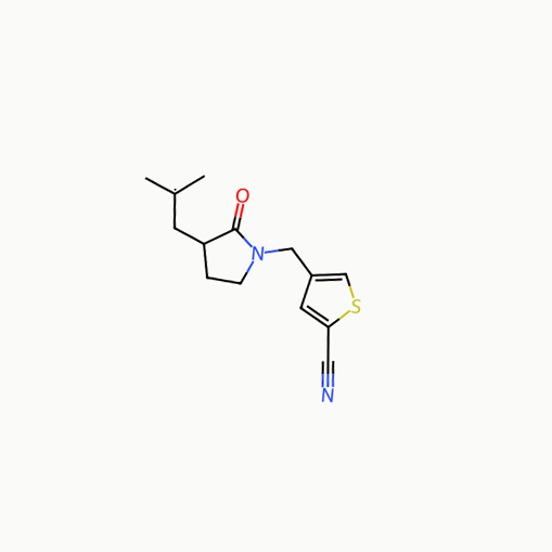 C[C](C)CC1CCN(Cc2csc(C#N)c2)C1=O